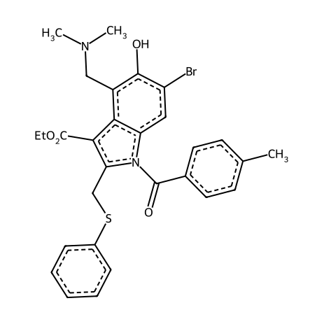 CCOC(=O)c1c(CSc2ccccc2)n(C(=O)c2ccc(C)cc2)c2cc(Br)c(O)c(CN(C)C)c12